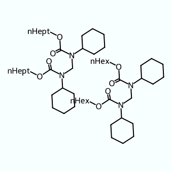 CCCCCCCOC(=O)N(CN(C(=O)OCCCCCCC)C1CCCCC1)C1CCCCC1.CCCCCCOC(=O)N(CN(C(=O)OCCCCCC)C1CCCCC1)C1CCCCC1